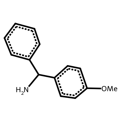 COc1ccc(C(N)c2ccccc2)cc1